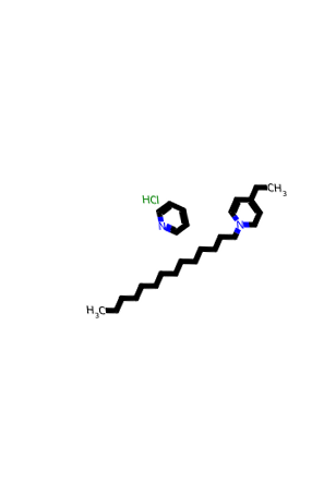 CCCCCCCCCCCCCCN1C=CC(CC)=CC1.Cl.c1ccncc1